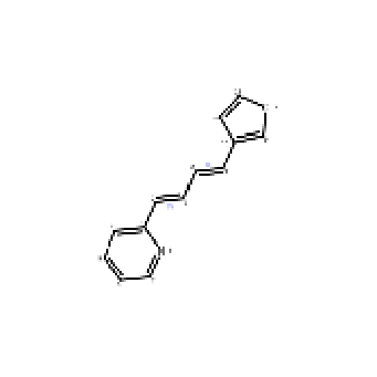 C(/C=C/c1ccccn1)=C\c1ccoc1